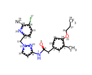 Cc1cc(CC(=O)Nc2ccn(Cc3ccc(F)c(C#N)n3)n2)ccc1OCCC(F)(F)F